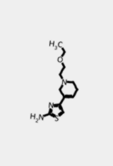 CCOCCN1CCC=C(c2csc(N)n2)C1